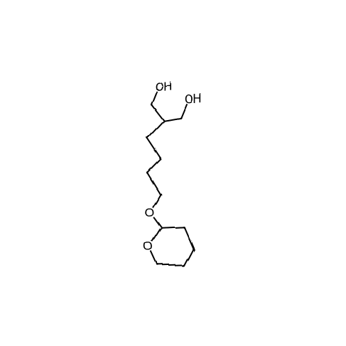 OCC(CO)CCCCOC1CCCCO1